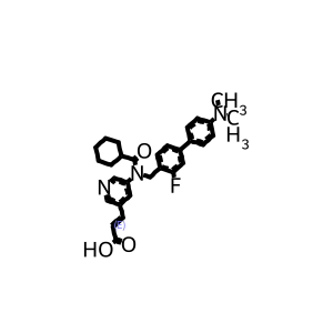 CN(C)c1ccc(-c2ccc(CN(C(=O)C3CCCCC3)c3cncc(/C=C/C(=O)O)c3)c(F)c2)cc1